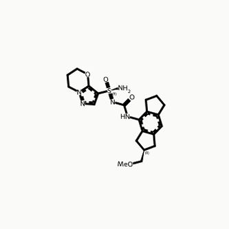 COC[C@@H]1Cc2cc3c(c(NC(=O)N=[S@@](N)(=O)c4cnn5c4OCCC5)c2C1)CCC3